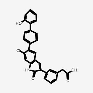 O=C(O)Cc1cccc(-c2cc3cc(-c4ccc(-c5ccccc5O)cc4)c(Cl)cc3[nH]c2=O)c1